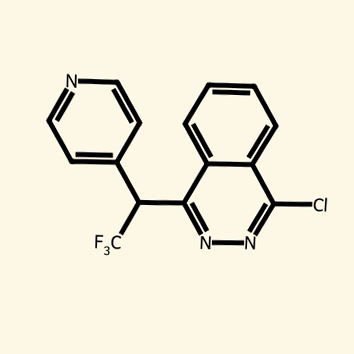 FC(F)(F)C(c1ccncc1)c1nnc(Cl)c2ccccc12